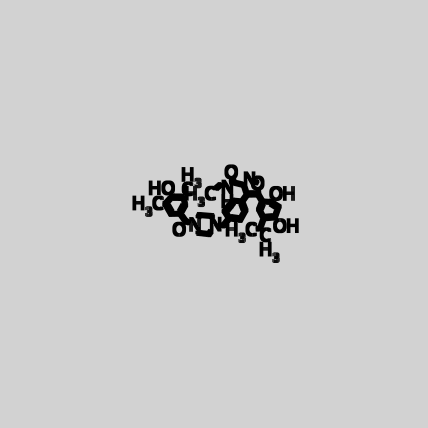 CCNC(=O)c1noc(-c2cc(C(C)C)c(O)cc2O)c1-c1ccc(CN2CCN(C(=O)c3cc(C)c(O)c(C)c3)CC2)cc1